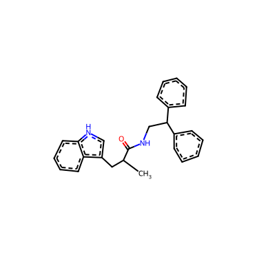 CC(Cc1c[nH]c2ccccc12)C(=O)NCC(c1ccccc1)c1ccccc1